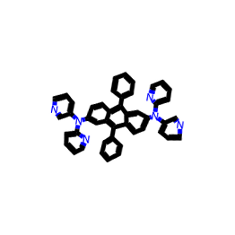 c1ccc(-c2c3ccc(N(c4cccnc4)c4ccccn4)cc3c(-c3ccccc3)c3ccc(N(c4cccnc4)c4ccccn4)cc23)cc1